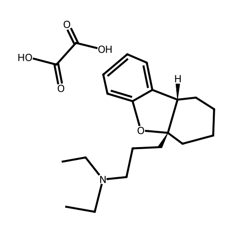 CCN(CC)CCC[C@]12CCCC[C@H]1c1ccccc1O2.O=C(O)C(=O)O